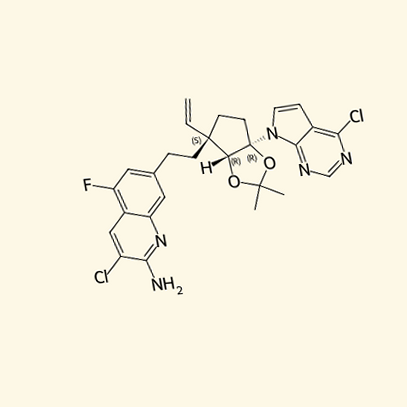 C=C[C@]1(CCc2cc(F)c3cc(Cl)c(N)nc3c2)CC[C@@]2(n3ccc4c(Cl)ncnc43)OC(C)(C)O[C@H]12